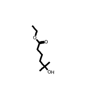 CCOC(=O)CCCC(C)(C)O